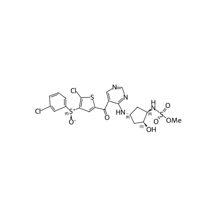 COS(=O)(=O)N[C@@H]1C[C@@H](Nc2ncncc2C(=O)c2cc([S@@+]([O-])c3cccc(Cl)c3)c(Cl)s2)C[C@@H]1O